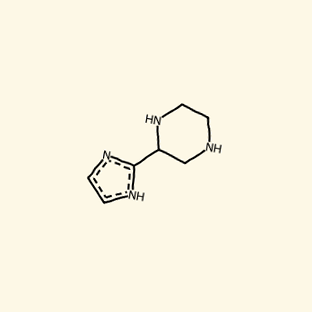 c1c[nH]c(C2CNCCN2)n1